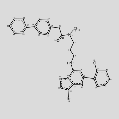 CN(CCCNc1cc(-c2ccccc2Cl)nc2c(Br)cnn12)C(=O)Cc1ccc(-c2ccccc2)cc1